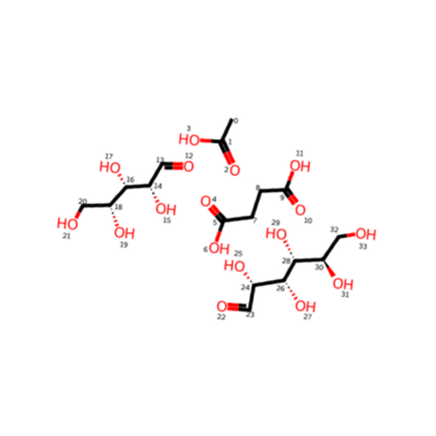 CC(=O)O.O=C(O)CCC(=O)O.O=C[C@H](O)[C@@H](O)[C@H](O)CO.O=C[C@H](O)[C@@H](O)[C@H](O)[C@H](O)CO